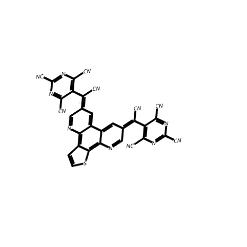 N#C/C(c1c(C#N)nc(C#N)nc1C#N)=c1/cnc2c(c1)c1c/c(=C(\C#N)c3c(C#N)nc(C#N)nc3C#N)cnc1c1sccc21